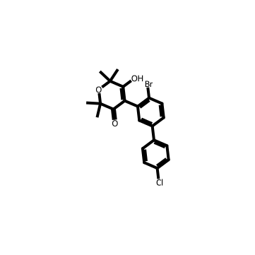 CC1(C)OC(C)(C)C(O)=C(c2cc(-c3ccc(Cl)cc3)ccc2Br)C1=O